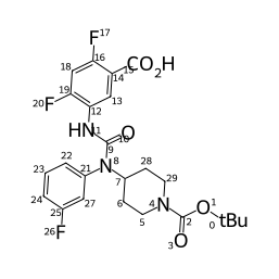 CC(C)(C)OC(=O)N1CCC(N(C(=O)Nc2cc(C(=O)O)c(F)cc2F)c2cccc(F)c2)CC1